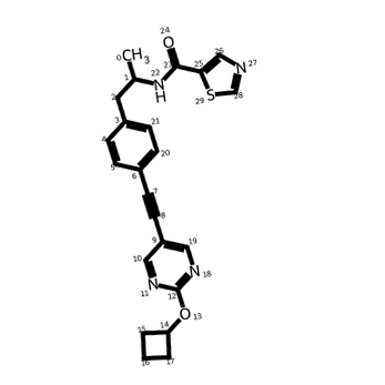 CC(Cc1ccc(C#Cc2cnc(OC3CCC3)nc2)cc1)NC(=O)c1cncs1